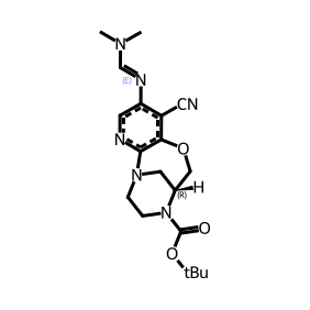 CN(C)/C=N/c1cnc2c(c1C#N)OC[C@H]1CN2CCN1C(=O)OC(C)(C)C